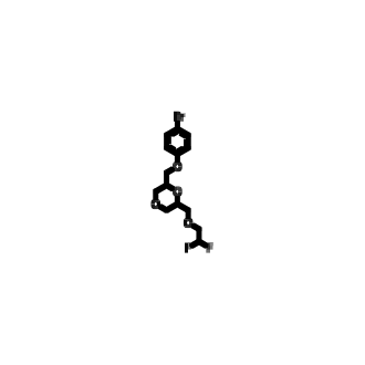 FC(F)COCC1COCC(COc2ccc(Br)cc2)O1